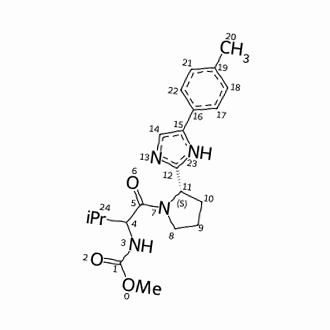 COC(=O)NC(C(=O)N1CCC[C@H]1c1ncc(-c2ccc(C)cc2)[nH]1)C(C)C